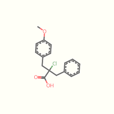 COc1ccc(CC(Cl)(Cc2ccccc2)C(=O)O)cc1